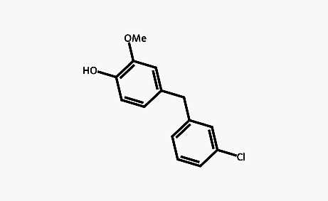 COc1cc(Cc2cccc(Cl)c2)ccc1O